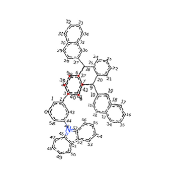 c1cc(-c2ccc3c(c2)C2(c4ccc5ccccc5c4)c4ccccc4C3(c3ccc4ccccc4c3)c3ccccc32)cc(-n2c3ccccc3c3ccccc32)c1